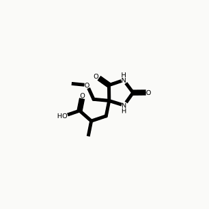 COCC1(CC(C)C(=O)O)NC(=O)NC1=O